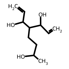 C=CC(O)C(CCC(C)O)C(O)C=C